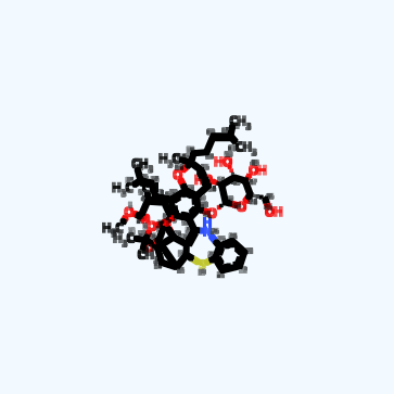 COC(=O)/C(C)=C\CC12OC(C)(C)C3CC(C1=O)C1Sc4ccccc4NC4=C1C32Oc1c(CC=C(C)C)c2c(c(O[C@H]3O[C@@H](CO)[C@H](O)[C@@H](O)[C@@H]3O)c14)C=CC(C)(CCC=C(C)C)O2